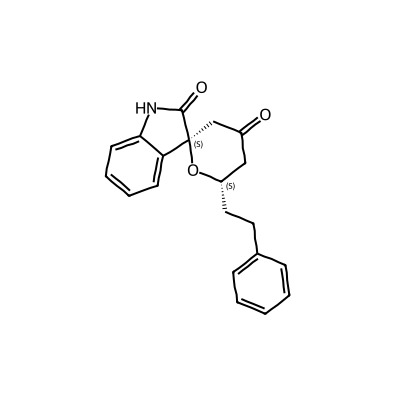 O=C1C[C@H](CCc2ccccc2)O[C@]2(C1)C(=O)Nc1ccccc12